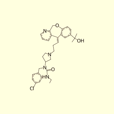 CCNC(=O)N(Cc1ccc(Cl)cc1)C1CCN(CCC=C2c3cc(C(C)(C)O)ccc3OCc3ncccc32)C1